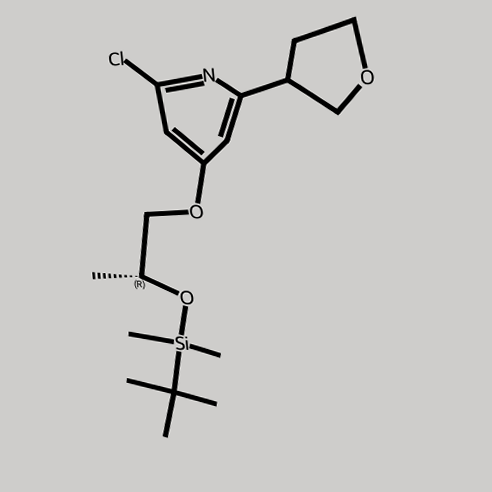 C[C@H](COc1cc(Cl)nc(C2CCOC2)c1)O[Si](C)(C)C(C)(C)C